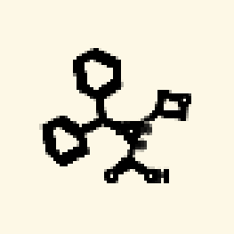 O=C(O)[C@H]1[C@@H](C2COC2)N1C(c1ccccc1)c1ccccc1